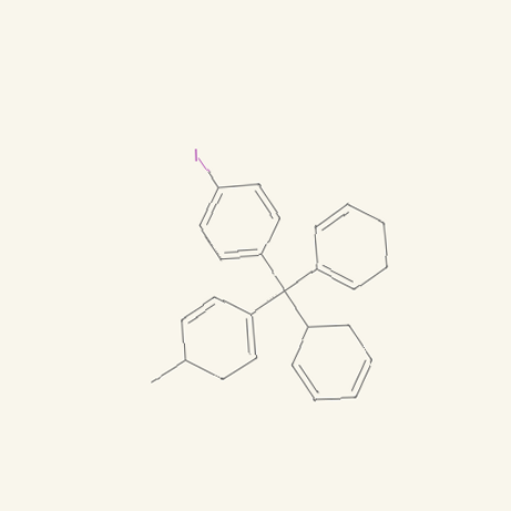 CC1C=CC(C(C2=CCCC=C2)(c2ccc(I)cc2)C2C=CC=CC2)=CC1